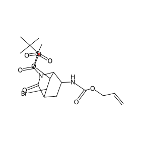 C=CCOC(=O)NC1CC2C(=O)N(C(=O)OC(C)(C)C)C1C(OS(C)(=O)=O)C2Br